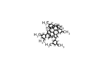 Cc1cc(C)cc(C2=CC(c3cc(C)cc(C)c3)=N/C2=C(/c2ccccc2C)c2c(-c3cc(C)cc(C)c3)cc(-c3cc(C)cc(C)c3)n2B(F)F)c1